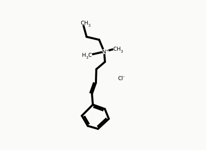 CCC[N+](C)(C)CCC=Cc1ccccc1.[Cl-]